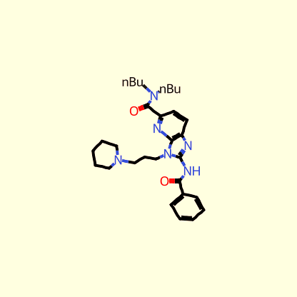 CCCCN(CCCC)C(=O)c1ccc2nc(NC(=O)c3ccccc3)n(CCCN3CCCCC3)c2n1